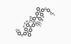 C=Cc1ccc(Oc2ccc(C3(c4ccc(F)cc4)c4ccccc4-c4ccc(N(c5ccc(F)cc5)c5ccc6c(c5)C5(CC6(C)C)CC(C)(C)c6ccc(N(c7ccc(F)cc7)c7ccc8c(c7)C(c7ccc(F)cc7)(c7ccc(Oc9ccc(C=C)cc9)cc7)c7ccccc7-8)cc65)cc43)cc2)cc1